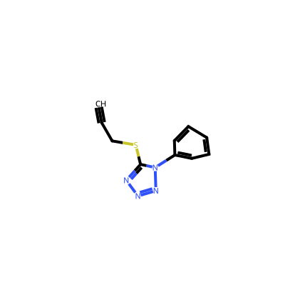 C#CCSc1nnnn1-c1ccccc1